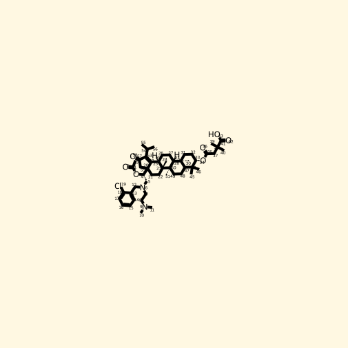 CC(=O)O[C@@H](CN(CCN(C)C)Cc1ccccc1Cl)C12CC[C@]3(C)[C@H](CC[C@@H]4[C@@]5(C)CC[C@H](OC(=O)CC(C)(C)C(=O)O)C(C)(C)C5CC[C@]43C)C1=C(C(C)C)C(=O)C2